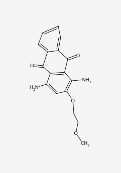 COCCOc1cc(N)c2c(c1N)C(=O)c1ccccc1C2=O